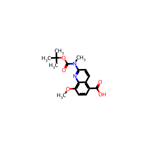 COc1ccc(C(=O)O)c2ccc(N(C)C(=O)OC(C)(C)C)nc12